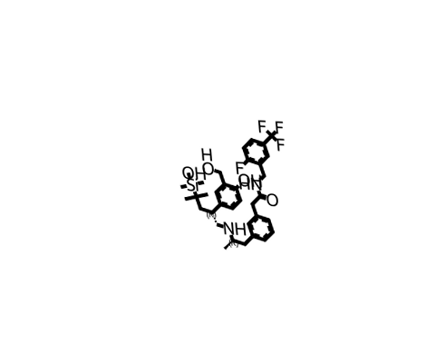 C[C@H](Cc1cccc(CC(=O)NCc2cc(C(F)(F)F)ccc2F)c1)NC[C@H](CC(C)(C)[Si](C)(C)O)c1ccc(O)c(CO)c1